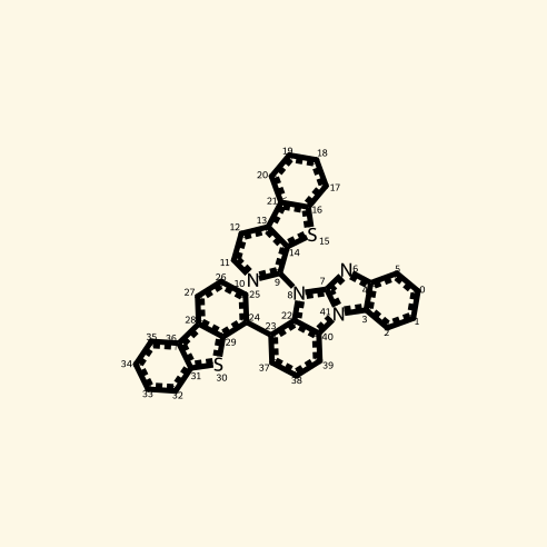 c1ccc2c(c1)nc1n(-c3nccc4c3sc3ccccc34)c3c(-c4cccc5c4sc4ccccc45)cccc3n21